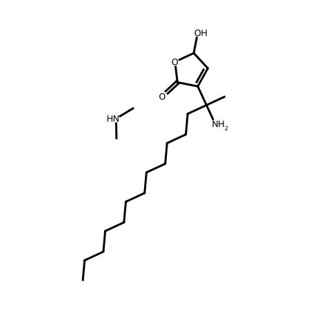 CCCCCCCCCCCCC(C)(N)C1=CC(O)OC1=O.CNC